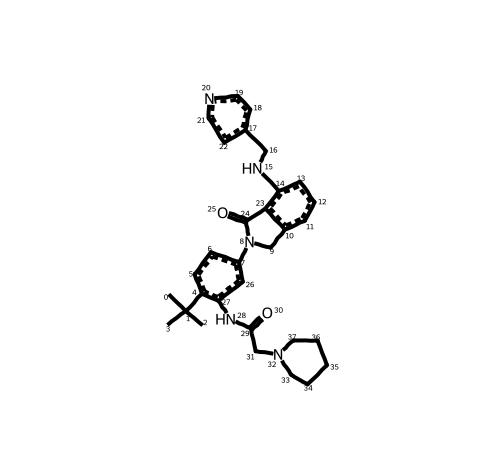 CC(C)(C)c1ccc(N2Cc3cccc(NCc4ccncc4)c3C2=O)cc1NC(=O)CN1CCCCC1